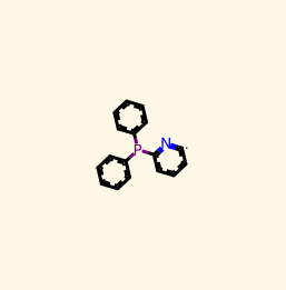 [c]1cccc(P(c2ccccc2)c2ccccc2)n1